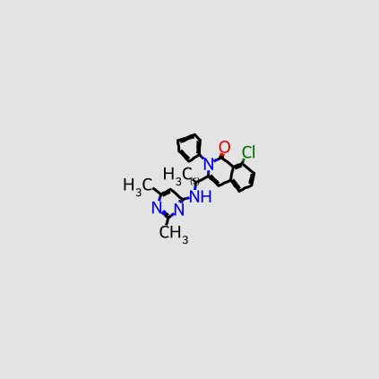 Cc1cc(N[C@@H](C)c2cc3cccc(Cl)c3c(=O)n2-c2ccccc2)nc(C)n1